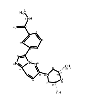 CNC(=O)c1cccc(-c2cnc3ccc(N4C[C@@H](C)O[C@@H](C)C4)nn23)c1